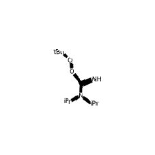 CC(C)N(C(=N)OOC(C)(C)C)C(C)C